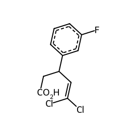 O=C(O)CC(C=C(Cl)Cl)c1cccc(F)c1